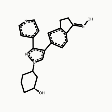 O/N=C1\CCc2cc(-c3cn(C4CCC[C@H](O)C4)nc3-c3ccncc3)ccc21